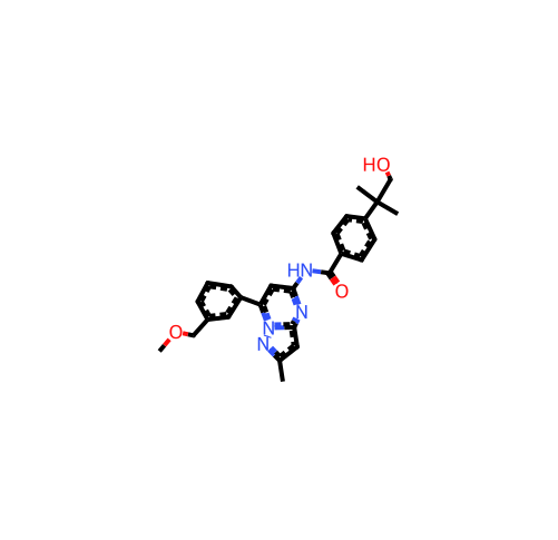 COCc1cccc(-c2cc(NC(=O)c3ccc(C(C)(C)CO)cc3)nc3cc(C)nn23)c1